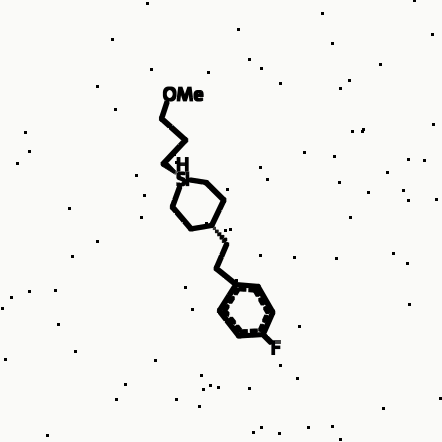 COCCC[Si@H]1CC[C@H](CCc2ccc(F)cc2)CC1